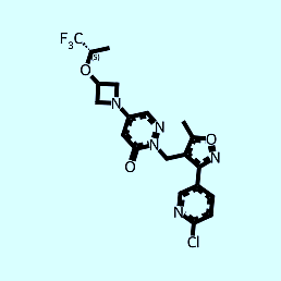 Cc1onc(-c2ccc(Cl)nc2)c1Cn1ncc(N2CC(O[C@@H](C)C(F)(F)F)C2)cc1=O